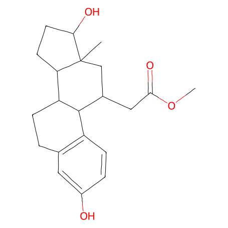 COC(=O)CC1CC2(C)C(O)CCC2C2CCc3cc(O)ccc3C12